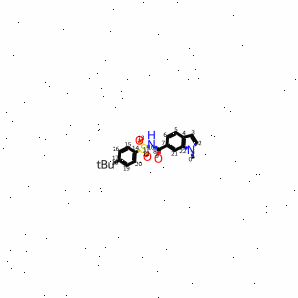 Cn1ccc2ccc(C(=O)NS(=O)(=O)c3ccc(C(C)(C)C)cc3)cc21